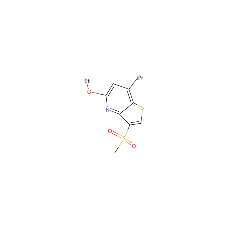 CCOc1cc(C(C)C)c2scc(S(C)(=O)=O)c2n1